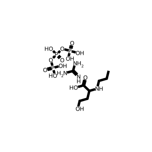 CCCNC(CCO)C(=O)O.N=C(N)N.O=P(O)(O)OP(=O)(O)OP(=O)(O)O